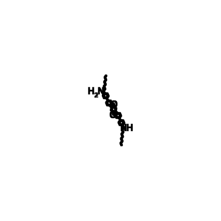 CCCCCCCCNc1ccc(-c2ccc3c(c2)oc2cc4c(cc23)oc2cc(-c3ccc(C(N)CCCCCCC)cc3)ccc24)cc1